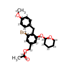 COc1ccc(Cc2c(Br)cc(COC(C)=O)cc2OC2CCCCO2)cc1